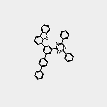 C1=CC(c2cc(-c3ccc(-c4ccccc4)cc3)cc(-c3nc(-c4ccccc4)nc(-c4ccccc4)n3)c2)C2Sc3ccccc3C2=C1